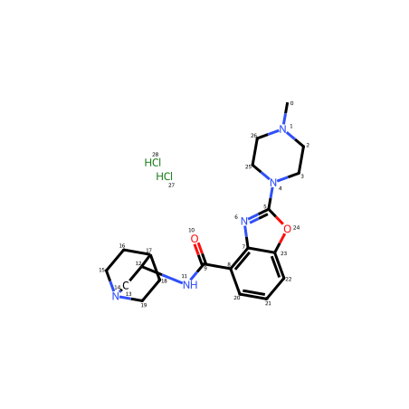 CN1CCN(c2nc3c(C(=O)NC4CN5CCC4CC5)cccc3o2)CC1.Cl.Cl